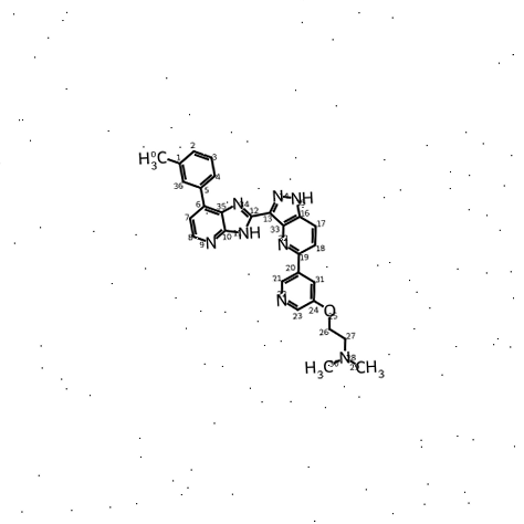 Cc1cccc(-c2ccnc3[nH]c(-c4n[nH]c5ccc(-c6cncc(OCCN(C)C)c6)nc45)nc23)c1